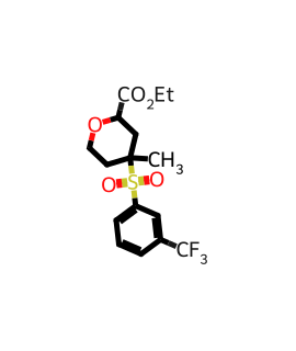 CCOC(=O)C1CC(C)(S(=O)(=O)c2cccc(C(F)(F)F)c2)CCO1